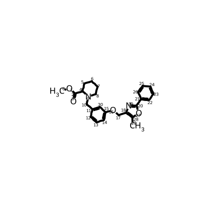 COC(=O)C1CCCCN1Cc1cccc(OCc2nc(-c3ccccc3)oc2C)c1